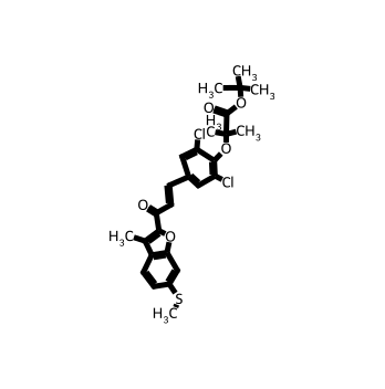 CSc1ccc2c(C)c(C(=O)/C=C/c3cc(Cl)c(OC(C)(C)C(=O)OC(C)(C)C)c(Cl)c3)oc2c1